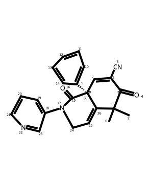 CC1(C)C(=O)C(C#N)=C[C@]2(c3ccccc3)C(=O)N(c3cccnc3)CC=C12